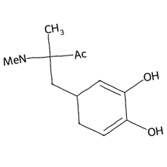 CNC(C)(CC1C=C(O)C(O)=CC1)C(C)=O